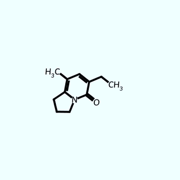 CCc1cc(C)c2n(c1=O)CCC2